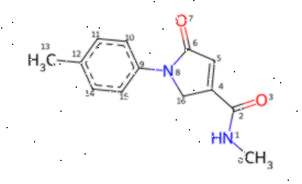 CNC(=O)C1=CC(=O)N(c2ccc(C)cc2)C1